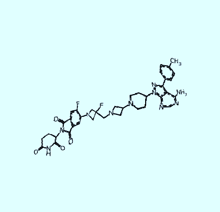 Cc1ccc(-c2nn(C3CCN(C4CN(CC5(F)CN(c6cc7c(cc6F)C(=O)N(C6CCC(=O)NC6=O)C7=O)C5)C4)CC3)c3ncnc(N)c23)cc1